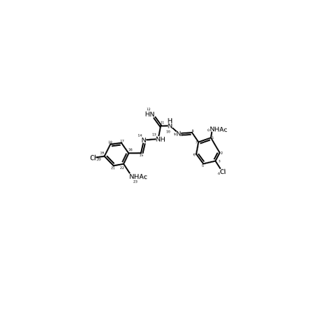 CC(=O)Nc1cc(Cl)ccc1C=NNC(=N)NN=Cc1ccc(Cl)cc1NC(C)=O